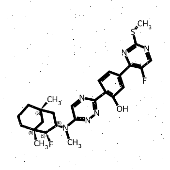 CSc1ncc(F)c(-c2ccc(-c3ncc(N(C)[C@@H]4C[C@@]5(C)CCC[C@](C)(C5)[C@@H]4F)nn3)c(O)c2)n1